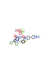 O=C(O)C(F)(F)F.O=C(c1cc(Cc2c[nH]c(=O)c3cc(Cl)c(Cl)n23)ccc1F)N1CCC(C2CCNCC2)CC1